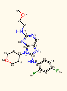 COCCNc1ncc2nc(Nc3ccc(F)cc3F)n(C3CCOCC3)c2n1